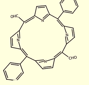 O=CC1=C2C=CC(=N2)C(c2ccccc2)=C2C=CC(=N2)C(C=O)=C2C=CC(=N2)C(c2ccccc2)=C2C=CC1=N2